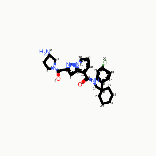 N[C@@H]1CCN(C(=O)c2cc3c(C(=O)NCC4(c5ccc(Cl)cc5)CCCCC4)cccn3n2)C1